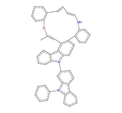 C/C1=C\c2c(ccc3c2c2ccccc2n3-c2ccc3c4ccccc4n(-c4ccccc4)c3c2)-c2ccccc2N/C=C/C=C/c2ccccc2O1